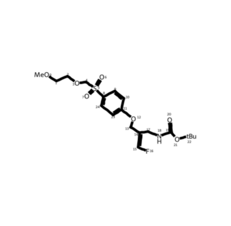 COCCOCS(=O)(=O)c1ccc(OC/C(=C/F)CNC(=O)OC(C)(C)C)cc1